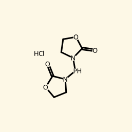 Cl.O=C1OCCN1PN1CCOC1=O